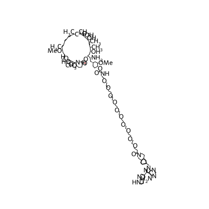 CO[C@H]1C[C@@H]2CC[C@@H](C)[C@@](O)(O2)C(=O)C(=O)N2CCCC[C@H]2C(=O)O[C@H]([C@H](N)C[C@@H]2CC[C@@H](OC(=O)NCCOCCOCCOCCOCCOCCOCCOCCOCCOCCOCCC(=O)N3CCc4cc(Cn5nc(-c6cnc7[nH]ccc7c6)c6c(N)ncnc65)ccc4C3)[C@H](OC)C2)C[C@@H](O)[C@H](C)/C=C(\C)[C@@H](O)[C@@H](O)C(=O)[C@H](C)C[C@H](C)/C=C/C=C/C=C/1C